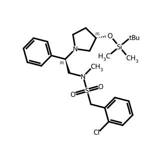 CN(C[C@@H](c1ccccc1)N1CC[C@H](O[Si](C)(C)C(C)(C)C)C1)S(=O)(=O)Cc1ccccc1Cl